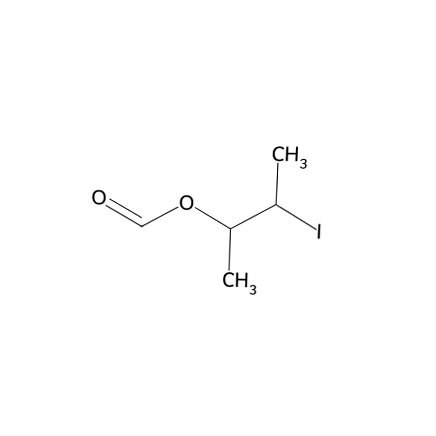 CC(I)C(C)OC=O